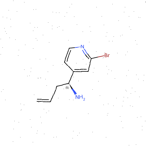 C=CC[C@H](N)c1ccnc(Br)c1